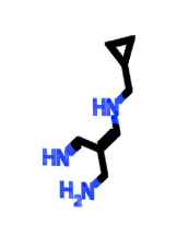 N=C/C(=C\NCC1CC1)CN